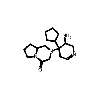 NC1CN=CCC1(C1CCCC1)N1CC(=O)N2CCCC2C1